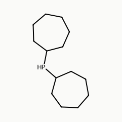 C1CCCC(PC2CCCCCC2)CC1